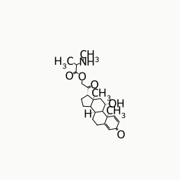 CNC(C)C(=O)OCC(=O)[C@H]1CCC2[C@@H]3CCC4=CC(=O)C=C[C@]4(C)C3[C@@H](O)C[C@@]21C